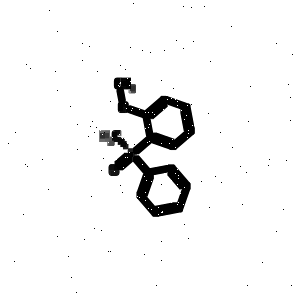 COc1ccccc1[P@](C)(=O)c1ccccc1